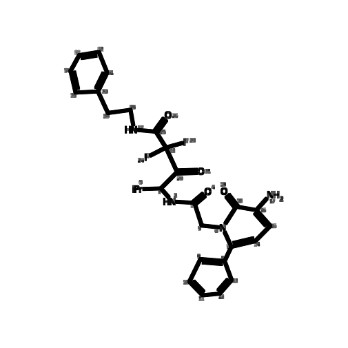 CC(C)C(NC(=O)Cn1c(-c2ccccc2)ccc(N)c1=O)C(=O)C(F)(F)C(=O)NCCc1ccccc1